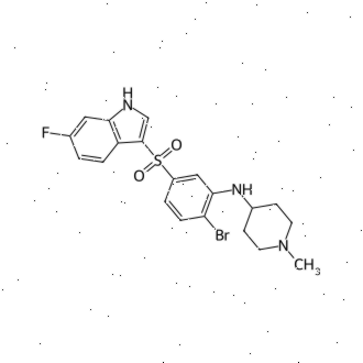 CN1CCC(Nc2cc(S(=O)(=O)c3c[nH]c4cc(F)ccc34)ccc2Br)CC1